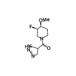 CO[C@H]1CCN(C(=O)C2CN=NN2)C[C@H]1F